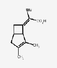 CC1=C(C)C2C(=C(C(=O)O)C(C)(C)C)CC2C1